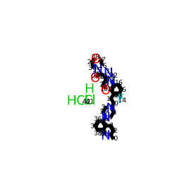 Cc1ccc2c(N3CCN(CCc4c(F)ccc5c4OCc4c(C(=O)N6CCOCC6)ncn4-5)CC3)cccc2n1.Cl.Cl